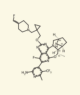 Cc1nc(N)cc(-c2nc3c4c(nc(OCC5(CN6CCC(=CF)CC6)CC5)nc4c2F)N2C[C@H]4CC[C@H](N4)[C@H]2[C@H](C)O3)c1C(F)(F)F